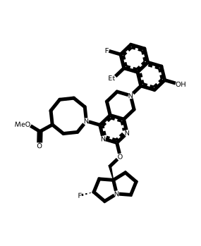 CCc1c(F)ccc2cc(O)cc(N3CCc4c(nc(OC[C@@]56CCCN5C[C@H](F)C6)nc4N4CCCCC(C(=O)OC)CC4)C3)c12